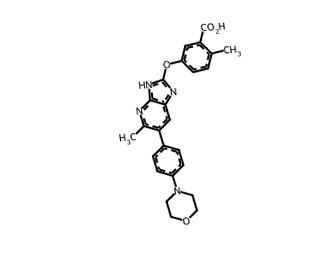 Cc1ccc(Oc2nc3cc(-c4ccc(N5CCOCC5)cc4)c(C)nc3[nH]2)cc1C(=O)O